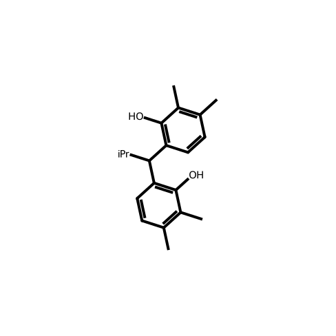 Cc1ccc(C(c2ccc(C)c(C)c2O)C(C)C)c(O)c1C